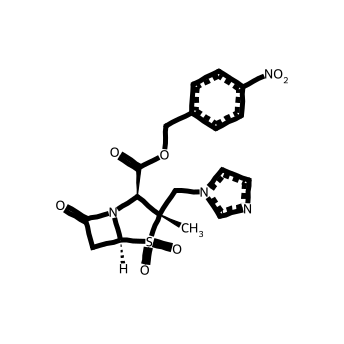 C[C@]1(Cn2ccnc2)[C@H](C(=O)OCc2ccc([N+](=O)[O-])cc2)N2C(=O)C[C@@H]2S1(=O)=O